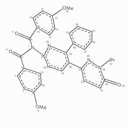 COc1ccc(C(=O)N(C(=O)c2ccc(OC)cc2)c2ncc(-c3ccc(=O)n(C(C)C)n3)c(-c3ccccc3)n2)cc1